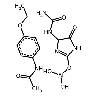 CCOc1ccc(NC(C)=O)cc1.NC(=O)NC1N=C([O][Al]([OH])[OH])NC1=O